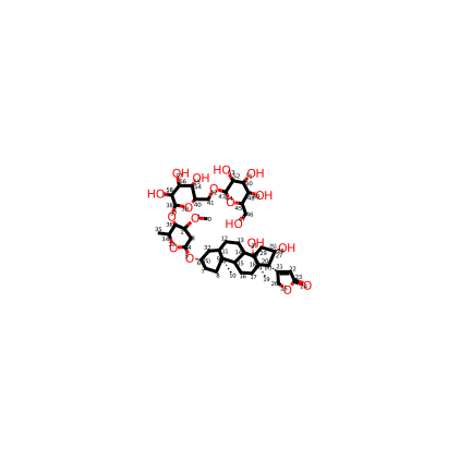 COC1CC(O[C@H]2CC[C@@]3(C)C(CCC4C3CC[C@]3(C)[C@@H](C5=CC(=O)OC5)[C@@H](O)C[C@]43O)C2)OC(C)C1OC1OC(COC2OC(CO)C(O)C(O)C2O)C(O)C(O)C1O